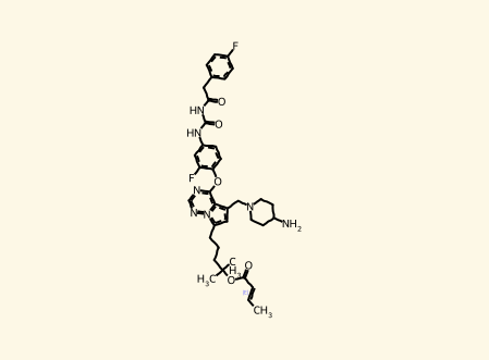 C/C=C/C(=O)OC(C)(C)CCCc1cc(CN2CCC(N)CC2)c2c(Oc3ccc(NC(=O)NC(=O)Cc4ccc(F)cc4)cc3F)ncnn12